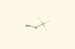 FC(F)(F)[Se][SeH]